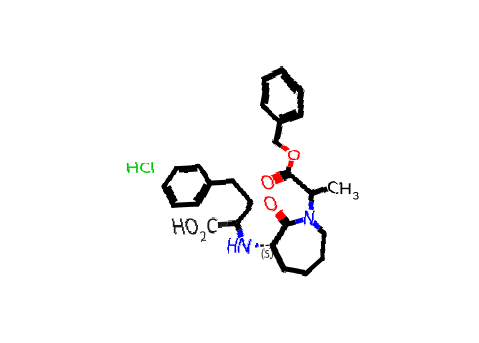 CC(C(=O)OCc1ccccc1)N1CCCC[C@H](NC(CCc2ccccc2)C(=O)O)C1=O.Cl